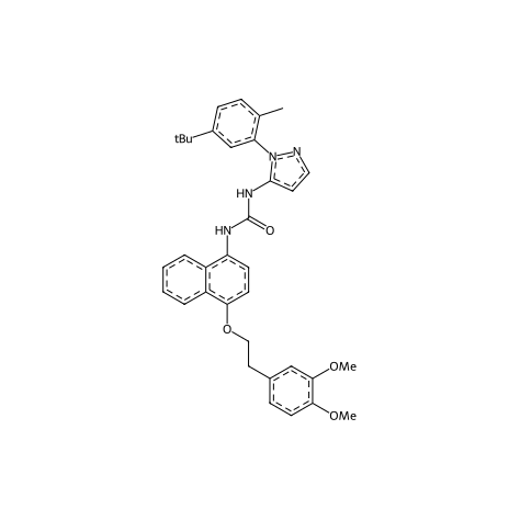 COc1ccc(CCOc2ccc(NC(=O)Nc3ccnn3-c3cc(C(C)(C)C)ccc3C)c3ccccc23)cc1OC